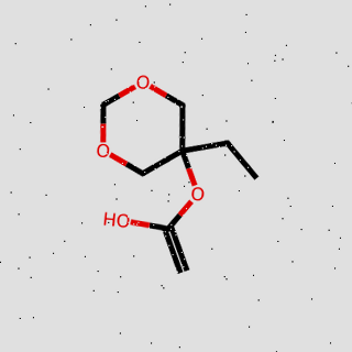 C=C(O)OC1(CC)COCOC1